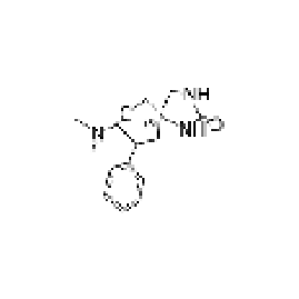 CN(C)C1CC[C@@]2(CNC(=O)N2)CC1c1ccccc1